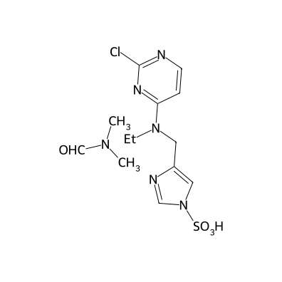 CCN(Cc1cn(S(=O)(=O)O)cn1)c1ccnc(Cl)n1.CN(C)C=O